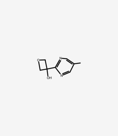 Cc1cnc(C2(O)COC2)nc1